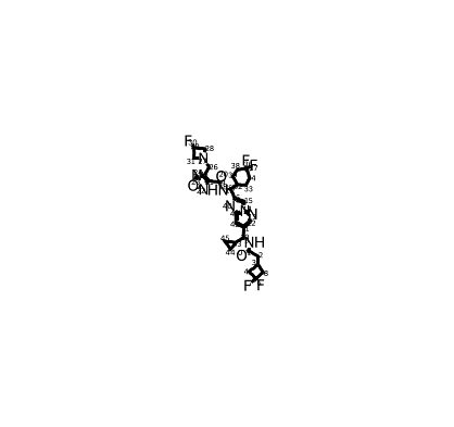 O=C(CC1CC(F)(F)C1)NC(c1cnn2cc([C@@H](NC(=O)c3nonc3CN3CC(F)C3)C3CCC(F)(F)CC3)nc2c1)C1CC1